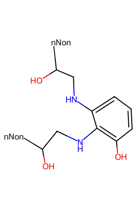 CCCCCCCCCC(O)CNc1cccc(O)c1NCC(O)CCCCCCCCC